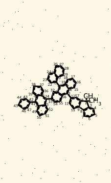 CC1(C)c2ccccc2-c2ccc(-c3c4ccccc4c(-c4cccc5ccccc45)c4cc(-c5c6ccccc6c(-c6ccccc6)c6ccccc56)ccc34)cc21